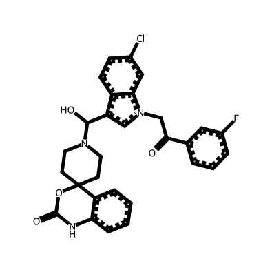 O=C1Nc2ccccc2C2(CCN(C(O)c3cn(CC(=O)c4cccc(F)c4)c4cc(Cl)ccc34)CC2)O1